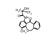 Cc1ccc(NC(=O)C(C)(O)C(F)(F)F)c2c1OCc1ccccc1C2=O